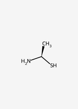 C[C@H](N)S